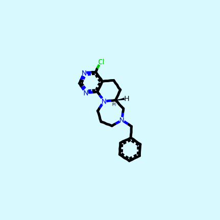 Clc1ncnc2c1CC[C@@H]1CN(Cc3ccccc3)CCCN21